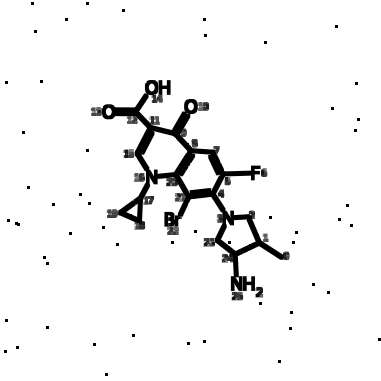 CC1CN(c2c(F)cc3c(=O)c(C(=O)O)cn(C4CC4)c3c2Br)CC1N